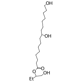 CCC(CO)OC(=O)CCCCCCCC(O)CCCCCCCO